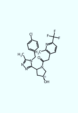 Cc1nc(C(F)(F)F)ccc1CC(=O)N1C[C@@H](O)CC1c1nnc(C)n1Cc1ccc(Cl)cc1